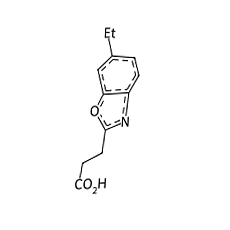 CCc1ccc2nc(CCC(=O)O)oc2c1